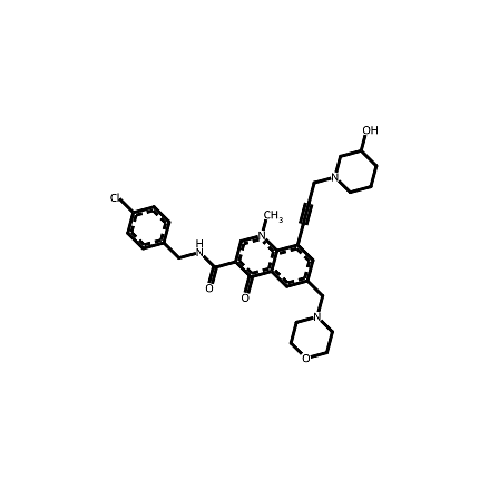 Cn1cc(C(=O)NCc2ccc(Cl)cc2)c(=O)c2cc(CN3CCOCC3)cc(C#CCN3CCCC(O)C3)c21